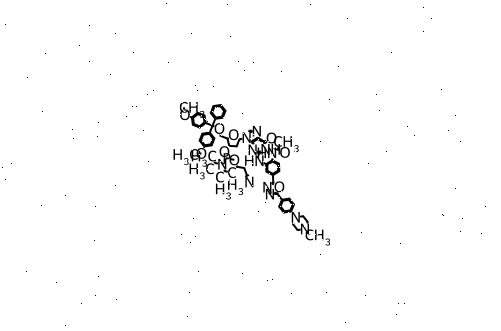 COc1ccc(C(OCC2OC(n3cnc4c(=O)[nH]c(Nc5cc(-c6nnc(-c7ccc(N8CCN(C)CC8)cc7)o6)ccc5NC(C)=O)nc43)CC2OP(OCCC#N)N(C(C)C)C(C)C)(c2ccccc2)c2ccc(OC)cc2)cc1